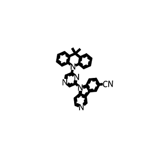 CC1(C)c2ccccc2N(c2cncc(-n3c4ccncc4c4cc(C#N)ccc43)n2)c2ccccc21